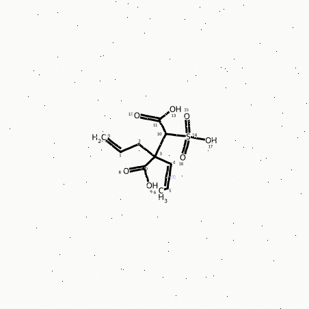 C=CCC(/C=C\C)(C(=O)O)C(C(=O)O)S(=O)(=O)O